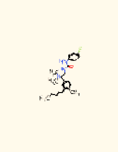 CCCCCc1cc(C(CNC(=O)Nc2ccc(F)cc2)N(C)C)ccc1C